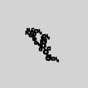 CSc1ncc2cc(-c3ccc(-c4cccc(C)n4)cc3Cl)c(=O)n(CCOC3CN(C(=O)OC(C)(C)C)C3)c2n1